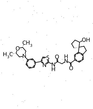 C[C@@H]1CN(c2cccc(-c3csc(NC(=O)CNC(=O)c4ccc5c(c4)[C@]4(CCC[C@H]4O)CC5)n3)c2)C[C@H](C)O1